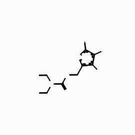 [CH2]c1sc(CSC(=S)N(CC)CC)c(Cl)c1Cl